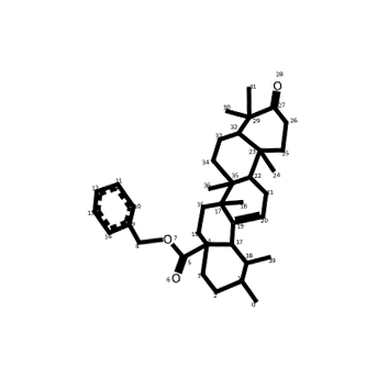 CC1CCC2(C(=O)OCc3ccccc3)CCC3(C)C(=CCC4C5(C)CCC(=O)C(C)(C)C5CCC43C)C2C1C